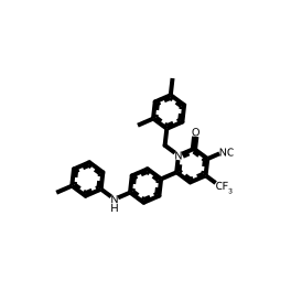 [C-]#[N+]c1c(C(F)(F)F)cc(-c2ccc(Nc3cccc(C)c3)cc2)n(Cc2ccc(C)cc2C)c1=O